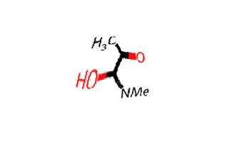 CNC(O)C(C)=O